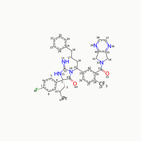 CC(C)CC[C@]1(c2ccc(F)cc2)NC(=N)N(C(CCCc2ccccc2)c2ccc(C(F)(F)F)c(C(=O)N3Cc4nccnc4C3)c2)C1=O